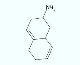 NC1CC=C2CCC=CC2C1